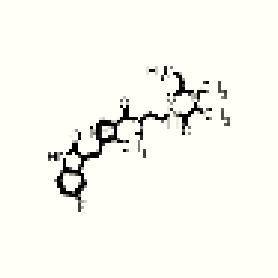 CCC(=O)N(C)C(C)C(=O)NCCNC(=O)c1c[nH]c(C=C2C(=O)Nc3ccc(F)cc32)c1C